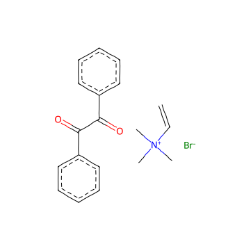 C=C[N+](C)(C)C.O=C(C(=O)c1ccccc1)c1ccccc1.[Br-]